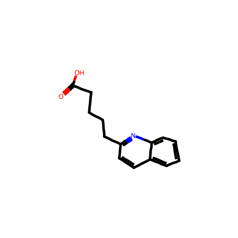 O=C(O)CCCCc1ccc2ccccc2n1